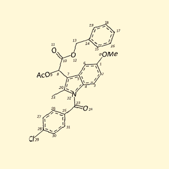 COc1ccc2c(c1)c(C(OC(C)=O)C(=O)OCc1ccccc1)c(C)n2C(=O)c1ccc(Cl)cc1